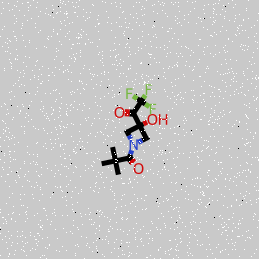 CC(C)(C)C(=O)N1CC(O)(C(=O)C(F)(F)F)C1